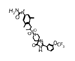 Cc1cc(N(C)C(N)=O)cc(C)c1CC(C)S(=O)(=O)N1CCC2(CC1)N=C(c1cccc(OC(F)(F)F)c1)NC2=O